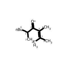 CCCCC(C)C(=O)C(C)=C(C)C